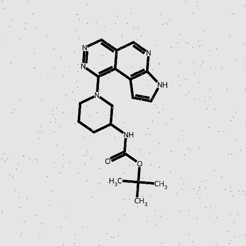 CC(C)(C)OC(=O)NC1CCCN(c2nncc3cnc4[nH]ccc4c23)C1